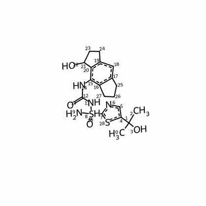 CC(C)(O)c1cnc([SH](N)(=O)NC(=O)Nc2c3c(cc4c2C(O)CC4)CCC3)s1